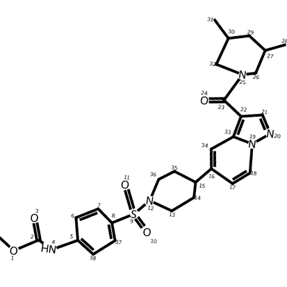 COC(=O)Nc1ccc(S(=O)(=O)N2CCC(c3ccn4ncc(C(=O)N5CC(C)CC(C)C5)c4c3)CC2)cc1